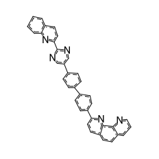 c1ccc2nc(-c3ncc(-c4ccc(-c5ccc(-c6ccc7ccc8cccnc8c7n6)cc5)cc4)cn3)ccc2c1